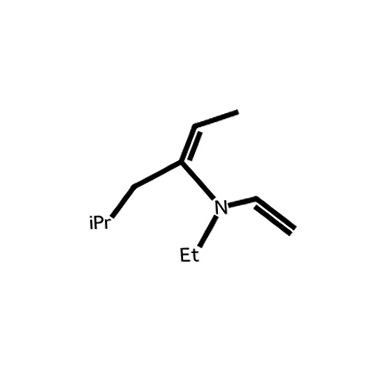 C=CN(CC)/C(=C\C)CC(C)C